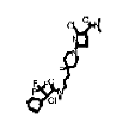 CN(C)C(=O)c1ccc(N2CCC(F)(CCCN(C)C(=O)C(O)(c3ccccc3)C(F)(F)F)CC2)nc1Cl